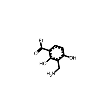 CCC(=O)c1ccc(O)c(CN)c1O